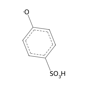 [O]c1ccc(S(=O)(=O)O)cc1